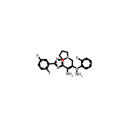 N/C(=C(/CN1CCCC1)N(N)c1ccccc1F)c1nc(-c2cc(F)ccc2F)no1